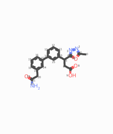 Cc1nnc(C(CC(=O)O)c2cccc(-c3cccc(CC(N)=O)c3)c2)o1